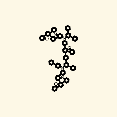 c1ccc(-c2ccc(N(c3cc(-c4ccccc4)cc(-c4ccc(-c5ccc(-c6ccc(N(c7cc(-c8ccccc8)cc(-c8ccccc8)c7)c7ccc8c(c7)c7cccc9c7n8-c7ccccc7-c7ccc8c(oc%10ccccc%108)c7-9)cc6)c6oc7ccccc7c56)cc4)c3)c3ccc4c(c3)c3cccc5c3n4-c3ccccc3-c3ccc4c(oc6ccccc64)c3-5)cc2)cc1